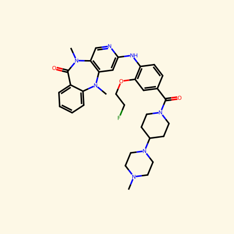 CN1CCN(C2CCN(C(=O)c3ccc(Nc4cc5c(cn4)N(C)C(=O)c4ccccc4N5C)c(OCCF)c3)CC2)CC1